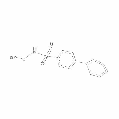 CCCONS(=O)(=O)c1ccc(-c2ccccc2)cc1